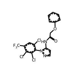 O=C(COc1ccccc1)Nc1ccnn1-c1c(Cl)cc(C(F)(F)F)c(Cl)c1Cl